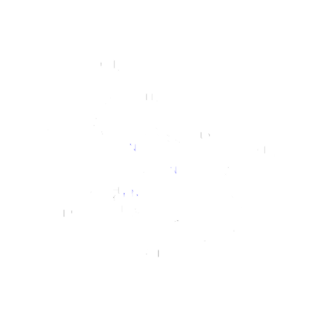 CC(C)c1cccc(C(C)C)c1-n1ccn(-c2c(C(C)C)cccc2C(C)C)c1=N